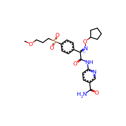 COCCCS(=O)(=O)c1ccc(/C(=N\OC2CCCC2)C(=O)Nc2ccc(C(N)=O)cn2)cc1